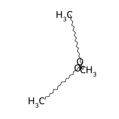 CCCCCCCCCCCCCCCCCCOC[C@@H](C)OCCCCCCCCCCCCCCCCCC